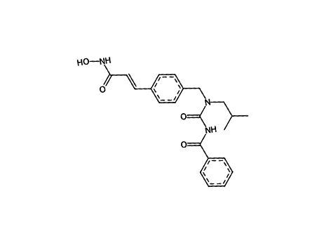 CC(C)CN(Cc1ccc(C=CC(=O)NO)cc1)C(=O)NC(=O)c1ccccc1